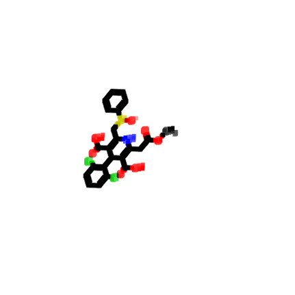 COC(=O)CC1=C(C(=O)O)C(c2c(Cl)cccc2Cl)C(C(=O)O)=C(C[S+]([O-])c2ccccc2)N1